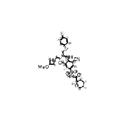 COC1CN(CC[C@H](CSc2ccc(F)cc2)Nc2c(Cl)cc(S(=O)(=O)NC(=O)[C@@]3(C)CCCCO3)cc2C#N)C1